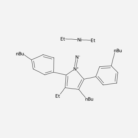 CCCCC1=C(c2cccc(CCCC)c2)[N+](=[N-])C(c2ccc(CCCC)cc2)=C1CC.C[CH2][Ni][CH2]C